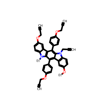 C#CCOc1ccc(-c2c3c4cc(OCC)ccc4n(CC#C)c3c(-c3ccc(OCC#C)cc3)c3c4cc(OCC#C)ccc4n(CC)c23)cc1